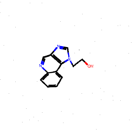 OCCn1cnc2cnc3ccccc3c21